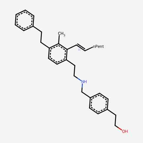 CCCCC/C=C/c1c(CCNCc2ccc(CCO)cc2)ccc(CCc2ccccc2)c1C